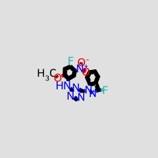 COc1cc(F)c([N+](=O)[O-])cc1Nc1ncnc(-n2nc(F)c3ccccc32)n1